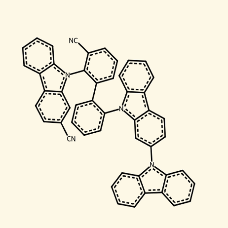 N#Cc1ccc2c3ccccc3n(-c3c(C#N)cccc3-c3ccccc3-n3c4ccccc4c4ccc(-n5c6ccccc6c6ccccc65)cc43)c2c1